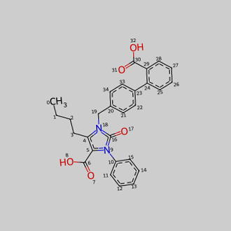 CCCCc1c(C(=O)O)n(-c2ccccc2)c(=O)n1Cc1ccc(-c2ccccc2C(=O)O)cc1